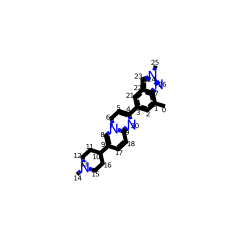 Cc1cc(C2=CCN3C=C(C4CCN(C)CC4)C=CC3=N2)cc2cn(C)nc12